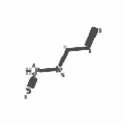 C=CC[N][PH2]=S